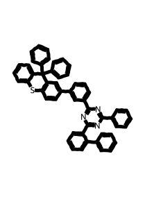 c1ccc(-c2nc(-c3cccc(-c4ccc5c(c4)C(c4ccccc4)(c4ccccc4)c4ccccc4S5)c3)nc(-c3ccccc3-c3ccccc3)n2)cc1